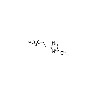 Cn1cnc(CCC(=O)O)n1